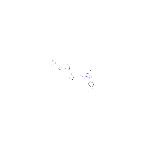 Cc1cnc(N2C=CN3c4cc(Oc5ccccc5CNC(=O)Nc5cc(C(C)(C)C)nn5-c5ccc(O)c(Cl)c5)ccc4SC23)o1